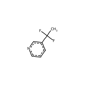 CC(F)(F)c1c[c]cnc1